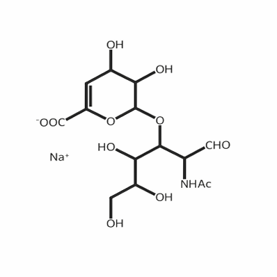 CC(=O)NC(C=O)C(OC1OC(C(=O)[O-])=CC(O)C1O)C(O)C(O)CO.[Na+]